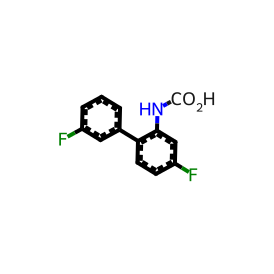 O=C(O)Nc1cc(F)ccc1-c1cccc(F)c1